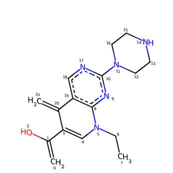 C=C(O)C1=CN(CC)c2nc(N3CCNCC3)ncc2C1=C